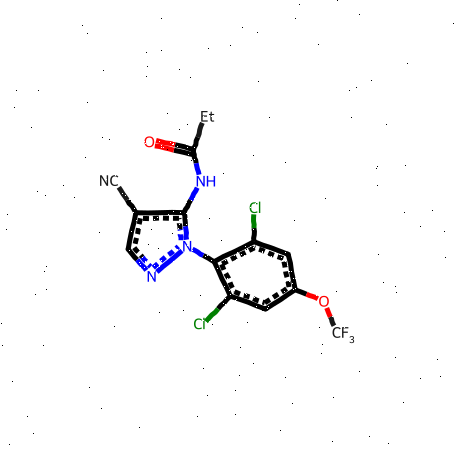 CCC(=O)Nc1c(C#N)cnn1-c1c(Cl)cc(OC(F)(F)F)cc1Cl